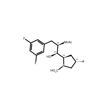 CC(=O)N[C@H](Cc1cc(F)cc(F)c1)[C@H](O)[C@H]1C[C@H](F)CN1C(=O)O